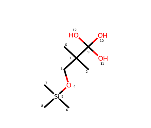 CC(C)(CO[Si](C)(C)C)C(O)(O)O